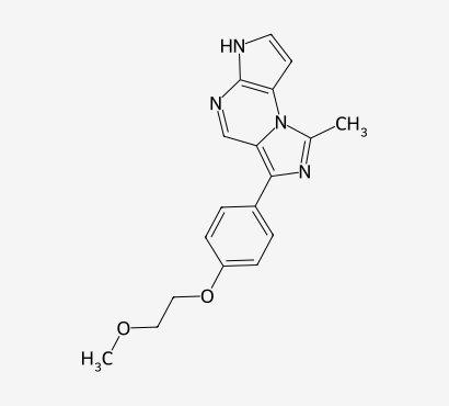 COCCOc1ccc(-c2nc(C)n3c2cnc2[nH]ccc23)cc1